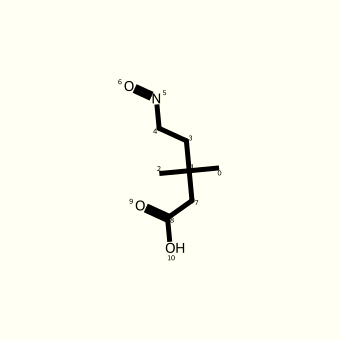 CC(C)(CCN=O)CC(=O)O